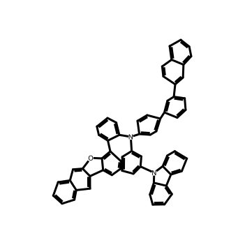 c1cc(-c2ccc(N(c3cccc(-n4c5ccccc5c5ccccc54)c3)c3ccccc3-c3cccc4c3oc3cc5ccccc5cc34)cc2)cc(-c2ccc3ccccc3c2)c1